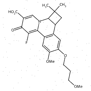 COCCCOc1cc2c(cc1OC)-c1c(F)c(=O)c(C(=O)O)cn1C1C2CC1(C)C